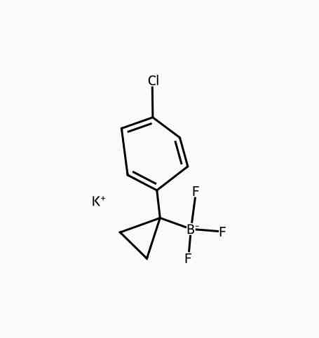 F[B-](F)(F)C1(c2ccc(Cl)cc2)CC1.[K+]